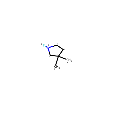 CC1(C)CCN(F)C1